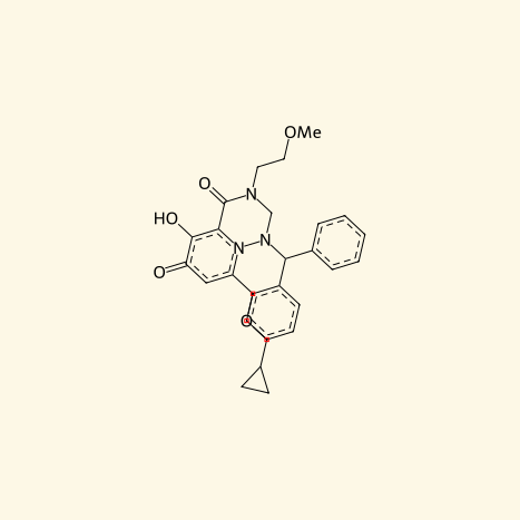 COCCN1CN(C(c2ccccc2)c2ccccc2)n2c(COCC3CC3)cc(=O)c(O)c2C1=O